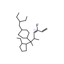 C=C/C(F)=C\C(C)C(C)(C1CCC(CC(CC)CC)CC1)C1CCCC1CC